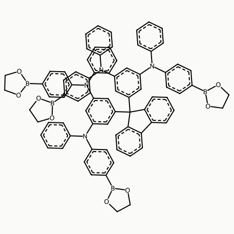 c1ccc(N(c2ccc(B3OCCO3)cc2)c2cc(N(c3ccccc3)c3ccc(B4OCCO4)cc3)cc(C3(c4cc(N(c5ccccc5)c5ccc(B6OCCO6)cc5)cc(N(c5ccccc5)c5ccc(B6OCCO6)cc5)c4)c4ccccc4-c4ccccc43)c2)cc1